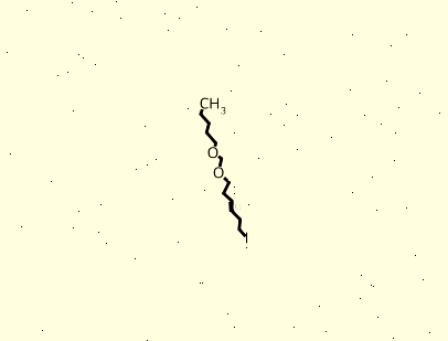 CCCCCOCOCC/C=C/CCI